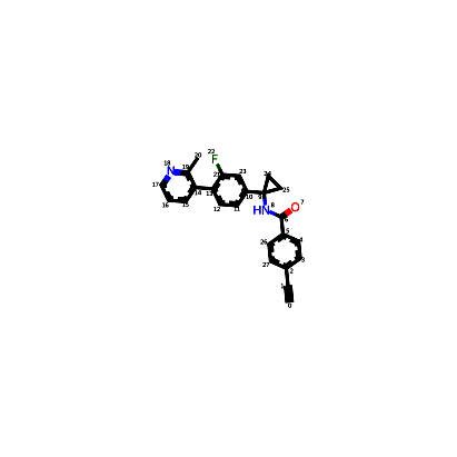 C#Cc1ccc(C(=O)NC2(c3ccc(-c4cccnc4C)c(F)c3)CC2)cc1